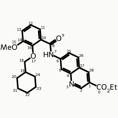 CCOC(=O)c1cnc2cc(NC(=O)c3cccc(OC)c3OCC3CCCCC3)ccc2c1